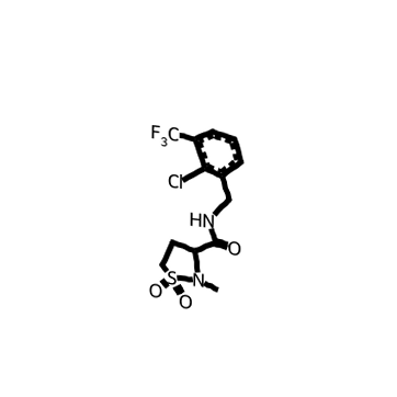 CN1C(C(=O)NCc2cccc(C(F)(F)F)c2Cl)CCS1(=O)=O